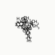 CON(C)C(=O)[C@H](CC(=O)OC(C)(C)C)NS(=O)(=O)c1ccc(N2CCCC2)cc1OCCc1cccc2ccccc12